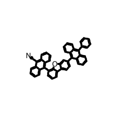 N#Cc1c2ccccc2c(-c2cccc3c2oc2cc(-c4c5ccccc5c(-c5ccccc5)c5ccccc45)ccc23)c2ccccc12